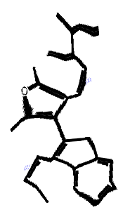 C=C(C)C(=C)/C=C\c1c(C)oc(C)c1C1=C(/C=C\C)c2ccccc2C1